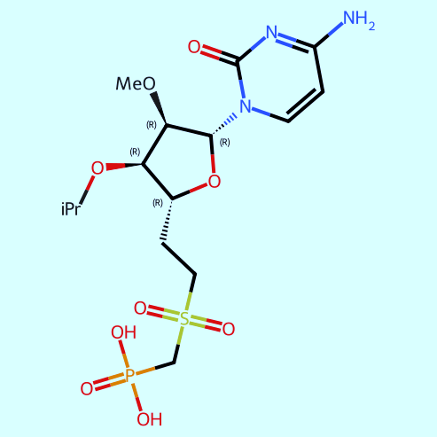 CO[C@@H]1[C@H](OC(C)C)[C@@H](CCS(=O)(=O)CP(=O)(O)O)O[C@H]1n1ccc(N)nc1=O